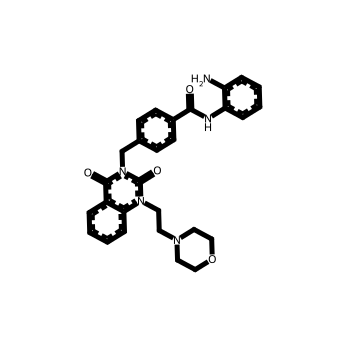 Nc1ccccc1NC(=O)c1ccc(Cn2c(=O)c3ccccc3n(CCN3CCOCC3)c2=O)cc1